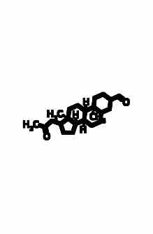 CC(=O)CC1CC[C@H]2[C@@H]3CCC4CC(C=O)CC[C@]4(C)[C@H]3CC[C@]12C